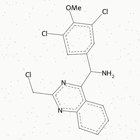 COc1c(Cl)cc(C(N)c2nc(CCl)nc3ccccc23)cc1Cl